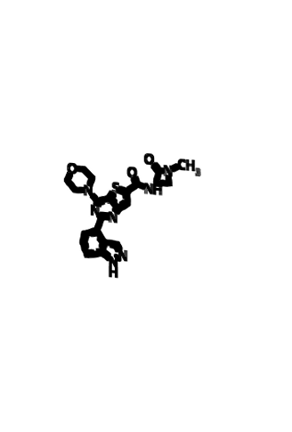 CN1CC(NC(=O)c2cc3nc(-c4cccc5[nH]ncc45)nc(N4CCOCC4)c3s2)C1=O